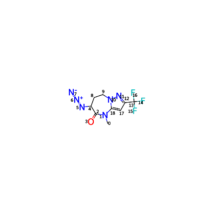 CN1C(=O)C(N=[N+]=[N-])CCn2nc(C(F)(F)F)cc21